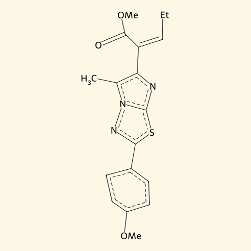 CCC=C(C(=O)OC)c1nc2sc(-c3ccc(OC)cc3)nn2c1C